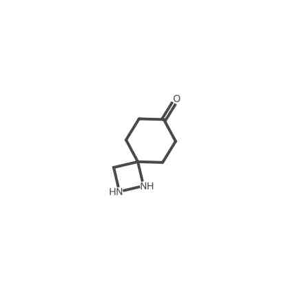 O=C1CCC2(CC1)CNN2